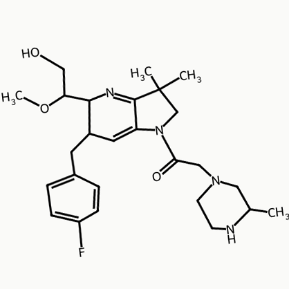 COC(CO)C1N=C2C(=CC1Cc1ccc(F)cc1)N(C(=O)CN1CCNC(C)C1)CC2(C)C